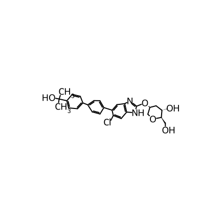 CC(C)(O)c1ccc(-c2ccc(-c3cc4nc(O[C@H]5CO[C@H](CO)[C@@H](O)C5)[nH]c4cc3Cl)cc2)cc1